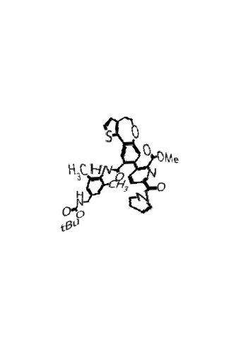 COC(=O)c1nc(C(=O)N2CCCC2)ccc1-c1cc2c(cc1C(=O)Nc1c(C)cc(CNC(=O)OC(C)(C)C)cc1C)-c1sccc1CCO2